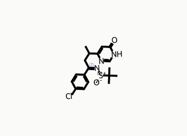 CC(C/C(=N/[S@@+]([O-])C(C)(C)C)c1ccc(Cl)cc1)c1cc(=O)[nH]cn1